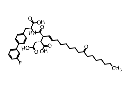 CCCCCCCC(=O)CCCCCC/C=C/[C@H](C(=O)N[C@@H](Cc1ccc(-c2cccc(F)c2)cc1)C(=O)O)[C@@H](CC(=O)O)C(=O)O